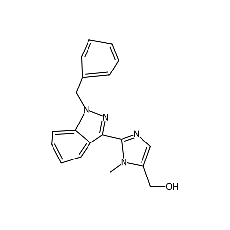 Cn1c(CO)cnc1-c1nn(Cc2ccccc2)c2ccccc12